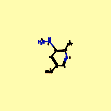 CCCc1ncc(SC)cc1NN